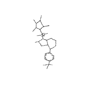 CC1CC2C(c3ccc(C(C)(C)C)cc3)CCCC2C1[Si](C)(C)C1C(C)C(C)C(C)C1C